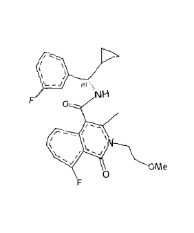 COCCn1c(C)c(C(=O)N[C@H](c2cccc(F)c2)C2CC2)c2cccc(F)c2c1=O